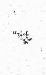 CCC1CC2(C1)CC(C(C)C)N(C(C)C)C1CC12